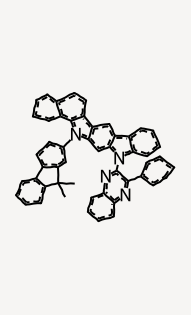 CC1(C)c2ccccc2-c2ccc(-n3c4cc5c(cc4c4ccc6ccccc6c43)c3ccccc3n5-c3nc4ccccc4nc3-c3ccccc3)cc21